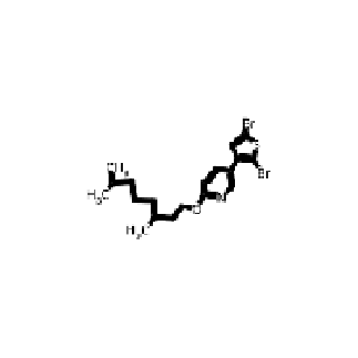 CC(C)CCCC(C)CCOc1ccc(-c2cc(Br)sc2Br)cn1